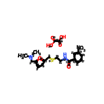 CN(C)Cc1ccc(CSCCNC(=O)c2cccc([N+](=O)[O-])c2)o1.O=C(O)C(=O)O